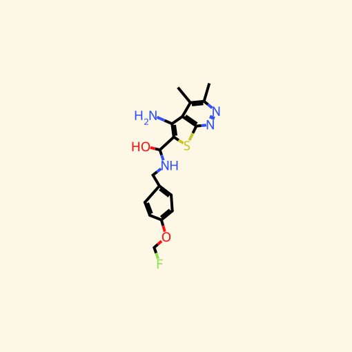 Cc1nnc2sc(C(O)NCc3ccc(OCF)cc3)c(N)c2c1C